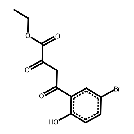 CCOC(=O)C(=O)CC(=O)c1cc(Br)ccc1O